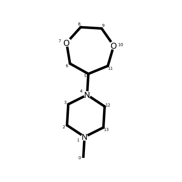 CN1CCN(C2COCCOC2)CC1